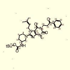 CC(C)=CCn1c(N2CCCC(NC(=O)OC(C)(C)C)C2)nc2c1c(=O)n(CCC(=O)c1ccccc1)c(=O)n2C